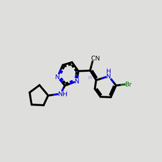 N#C/C(=C1/C=CC=C(Br)N1)c1ccnc(NC2CCCC2)n1